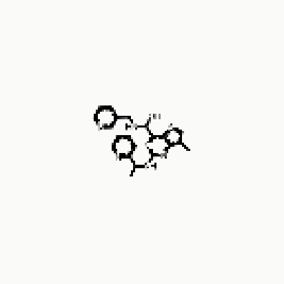 Cc1csc2c(C(O)NCc3cccnc3)nc(NC(C)c3ccccn3)nc12